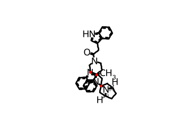 Cc1nc2ccccc2n1C1C[C@H]2CC[C@@H](C1)N2CCC1(c2ccccc2)CCN(C(=O)Cc2c[nH]c3ccccc23)CC1